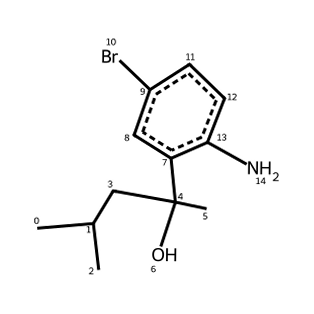 CC(C)CC(C)(O)c1cc(Br)ccc1N